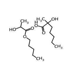 CCCCCC(C)(O)C(=O)O.CCCCCOC(=O)C(C)O